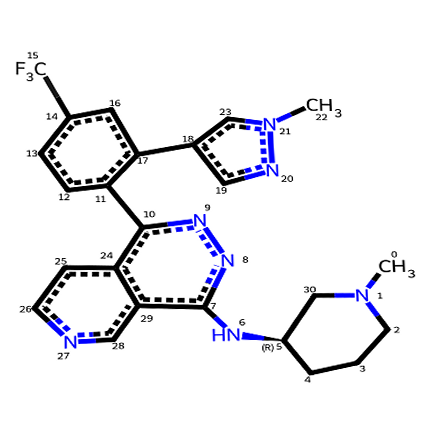 CN1CCC[C@@H](Nc2nnc(-c3ccc(C(F)(F)F)cc3-c3cnn(C)c3)c3ccncc23)C1